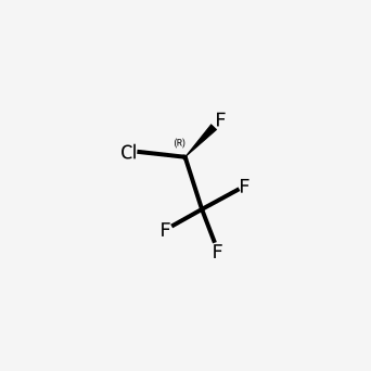 F[C@H](Cl)C(F)(F)F